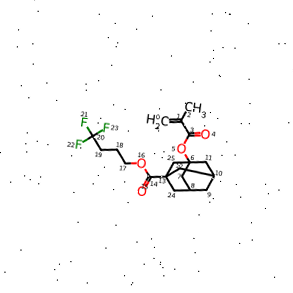 C=C(C)C(=O)OC12CC3CC(C1)CC(C(=O)OCCCC(F)(F)F)(C3)C2